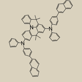 CC1(C)c2ccccc2N2c3ccc(N(c4ccccc4)c4ccc(-c5ccc6ccccc6c5)cc4)cc3C(C)(C)c3cc(N(c4ccccc4)c4ccc(-c5ccc6ccccc6c5)cc4)cc1c32